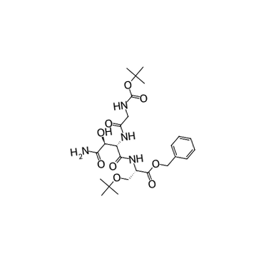 CC(C)(C)OC[C@H](NC(=O)[C@@H](NC(=O)CNC(=O)OC(C)(C)C)[C@H](O)C(N)=O)C(=O)OCc1ccccc1